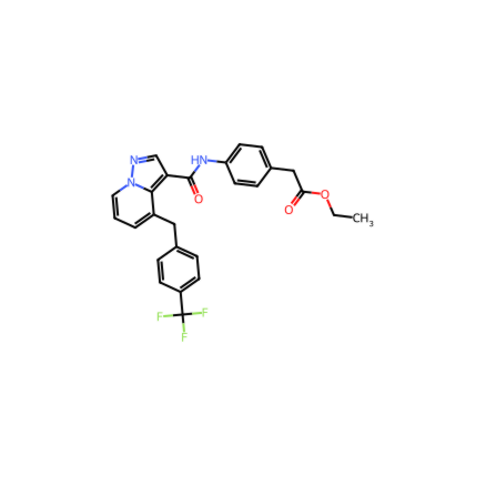 CCOC(=O)Cc1ccc(NC(=O)c2cnn3cccc(Cc4ccc(C(F)(F)F)cc4)c23)cc1